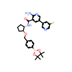 CC1(C)OB(c2ccc(CO[C@H]3CCC[C@@H]3NC(=O)c3cc(-c4cncc(F)c4)cnc3N)cc2)OC1(C)C